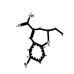 CCC1CC(C(=O)O)=Cc2cc(Br)ccc2O1